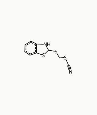 N#CSCSC1Nc2ccccc2S1